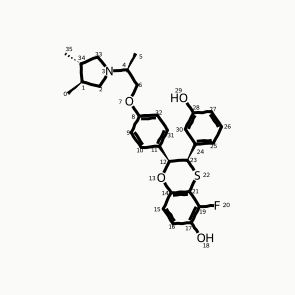 C[C@@H]1CN([C@@H](C)COc2ccc([C@@H]3Oc4ccc(O)c(F)c4S[C@@H]3c3cccc(O)c3)cc2)C[C@H]1C